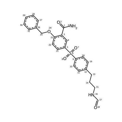 NC(=O)c1cc(S(=O)(=O)c2ccc(CCCNC=O)cc2)ccc1OCc1ccccc1